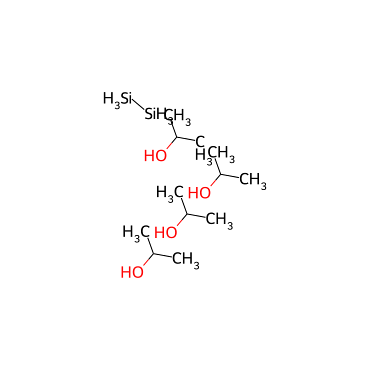 CC(C)O.CC(C)O.CC(C)O.CC(C)O.[SiH3][SiH3]